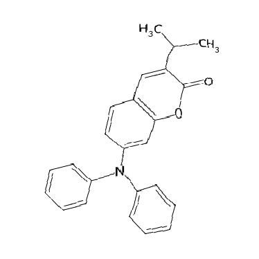 CC(C)c1cc2ccc(N(c3ccccc3)c3ccccc3)cc2oc1=O